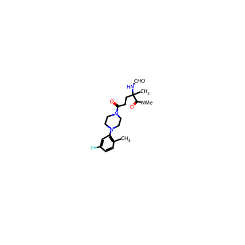 CNC(=O)C(C)(CCC(=O)N1CCN(c2cc(F)ccc2C)CC1)NC=O